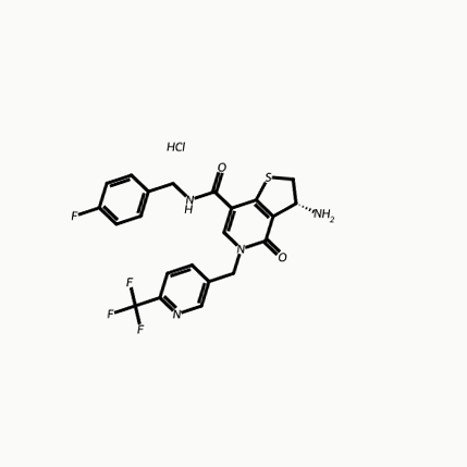 Cl.N[C@H]1CSc2c(C(=O)NCc3ccc(F)cc3)cn(Cc3ccc(C(F)(F)F)nc3)c(=O)c21